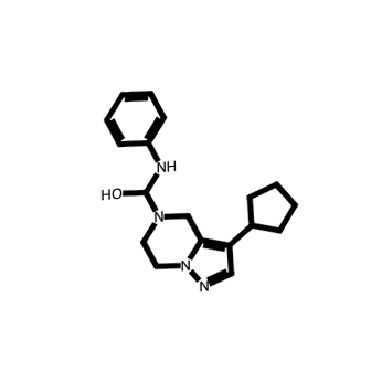 OC(Nc1ccccc1)N1CCn2ncc(C3CCCC3)c2C1